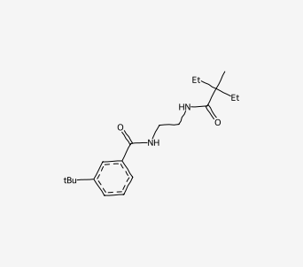 CCC(C)(CC)C(=O)NCCNC(=O)c1cccc(C(C)(C)C)c1